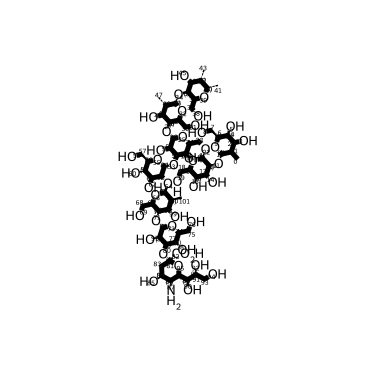 CC1C(O)[C@H](O)[C@H](CO)O[C@H]1O[C@@H]1C(O)[C@H](O)C(CO)O[C@@H]1OCC1O[C@@H](O[C@@H]2C(CO)O[C@@H](O[C@@H]3C(CO)O[C@@H](C)[C@@H](C)C3O)[C@@H](C)C2O)C(O)C(O[C@H]2O[C@H](CO)[C@@H](O)C(O)C2O[C@@H]2OC(CO)[C@@H](O[C@@H]3OC(CO)[C@H](O)C(O[C@]4(C(=O)O)C[C@@H](O)[C@@H](N)C([C@H](O)[C@H](O)CO)O4)[C@@H]3O)C(O)[C@@H]2C)[C@@H]1O